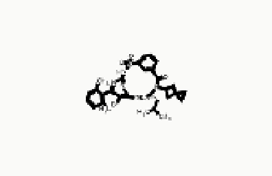 Cc1cccc(C)c1-c1nc2nc(c1Br)OC[C@@H](CC(C)C)N(C1CC3(CC3)C1)C(=O)c1cccc(c1)S(=O)(=O)N2